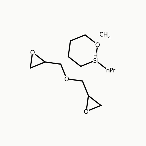 C.C(OCC1CO1)C1CO1.CCC[SiH]1CCCCO1